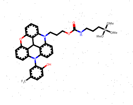 CO[Si](CCCNC(=O)OCCCN1c2cccc3c2C2c4c(cccc4N(c4cc(C(F)(F)F)ccc4O)c4cccc1c42)O3)(OC)OC